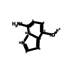 Nc1ccc(OF)c2ccnn12